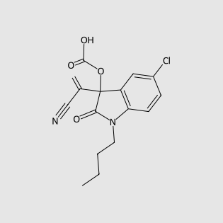 C=C(C#N)C1(OC(=O)O)C(=O)N(CCCC)c2ccc(Cl)cc21